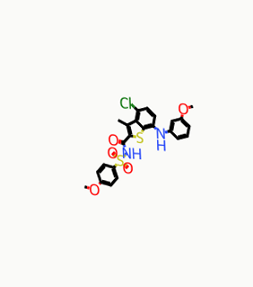 COc1ccc(S(=O)(=O)NC(=O)c2sc3c(Nc4cccc(OC)c4)ccc(Cl)c3c2C)cc1